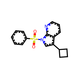 O=S(=O)(c1ccccc1)n1cc(C2CCC2)c2cccnc21